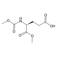 COC(=O)N[C@@H](CCC(=O)O)C(=O)OC